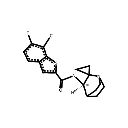 O=C(N[C@@H]1C2CCN(CC2)C12CC2)c1cc2ccc(F)c(Cl)c2s1